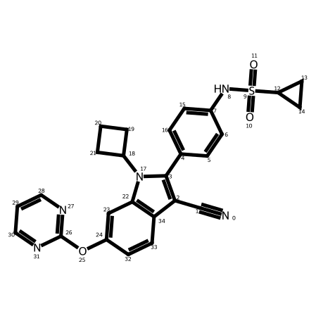 N#Cc1c(-c2ccc(NS(=O)(=O)C3CC3)cc2)n(C2CCC2)c2cc(Oc3ncccn3)ccc12